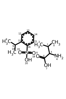 CC(C)C(N)C(=O)O.CC(C)c1ccccc1S(=O)(=O)O